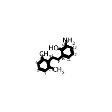 Cc1cccc(C)c1CCc1cccc(N)c1O